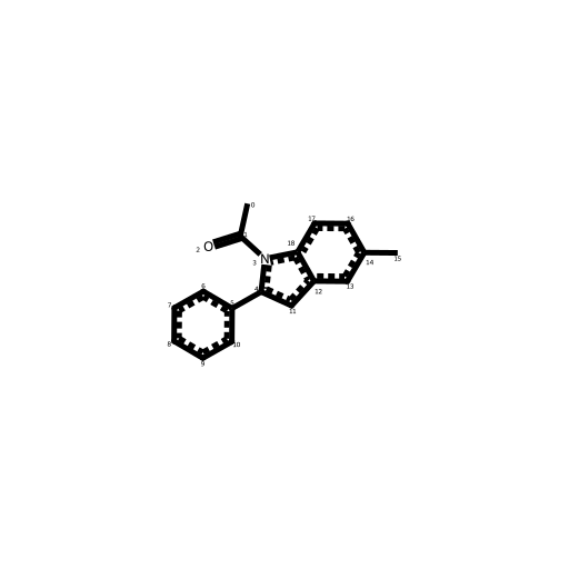 CC(=O)n1c(-c2ccccc2)cc2cc(C)ccc21